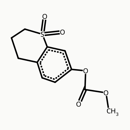 COC(=O)Oc1ccc2c(c1)S(=O)(=O)CCC2